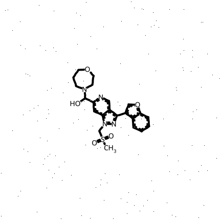 CS(=O)(=O)Cn1nc(-c2coc3ccccc23)c2cnc(C(O)N3CCCOCC3)cc21